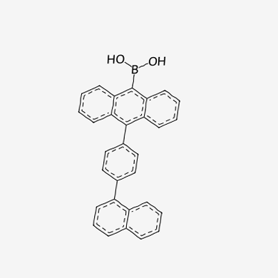 OB(O)c1c2ccccc2c(-c2ccc(-c3cccc4ccccc34)cc2)c2ccccc12